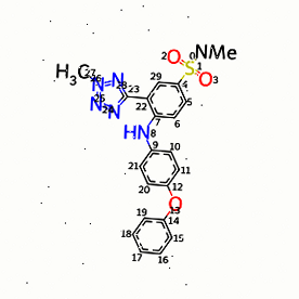 CNS(=O)(=O)c1ccc(Nc2ccc(Oc3ccccc3)cc2)c(-c2nnn(C)n2)c1